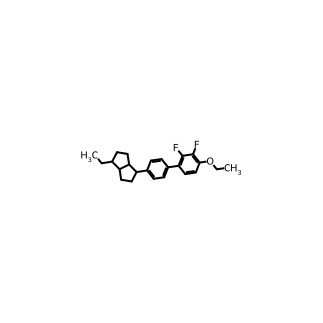 CCOc1ccc(-c2ccc(C3CCC4C(CC)CCC34)cc2)c(F)c1F